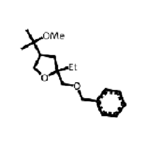 CCC1(COCc2ccccc2)CC(C(C)(C)OC)CO1